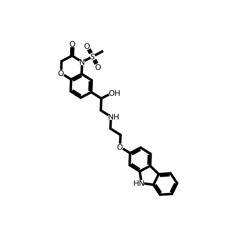 CS(=O)(=O)N1C(=O)COc2ccc(C(O)CNCCOc3ccc4c(c3)[nH]c3ccccc34)cc21